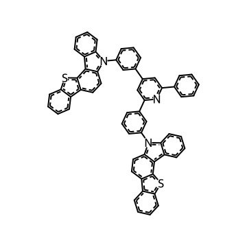 c1ccc(-c2cc(-c3cccc(-n4c5ccccc5c5c6sc7ccccc7c6ccc54)c3)cc(-c3cccc(-n4c5ccccc5c5c6sc7ccccc7c6ccc54)c3)n2)cc1